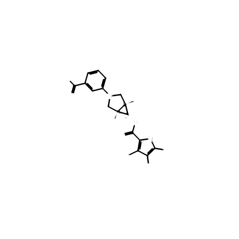 Cc1[nH]c(C(=O)N[C@@H]2[C@@H]3CN(c4cccc(C(=O)[O-])c4)C[C@@H]32)c(Cl)c1Cl.[Li+]